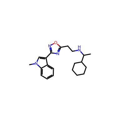 CC(NCCc1nc(-c2cn(C)c3ccccc23)no1)C1CCCCC1